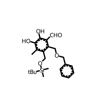 Cc1c(O)c(O)c(C=O)c(COCc2ccccc2)c1CO[Si](C)(C)C(C)(C)C